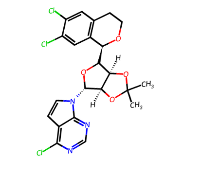 CC1(C)O[C@@H]2[C@H](O1)C([C@@H]1OCCc3cc(Cl)c(Cl)cc31)O[C@H]2n1ccc2c(Cl)ncnc21